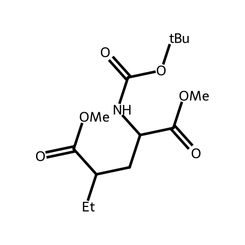 CCC(CC(NC(=O)OC(C)(C)C)C(=O)OC)C(=O)OC